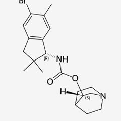 Cc1cc2c(cc1Br)CC(C)(C)[C@H]2NC(=O)O[C@@H]1CN2CCC1CC2